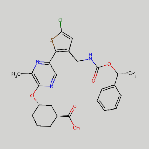 Cc1nc(-c2sc(Cl)cc2CNC(=O)O[C@H](C)c2ccccc2)cnc1O[C@H]1CCC[C@H](C(=O)O)C1